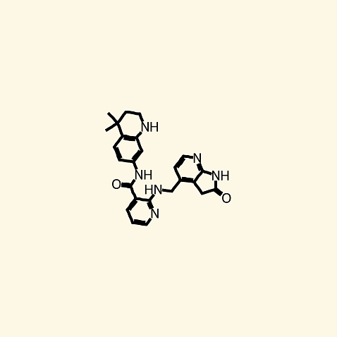 CC1(C)CCNc2cc(NC(=O)c3cccnc3NCc3ccnc4c3CC(=O)N4)ccc21